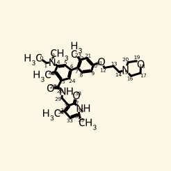 CCN(C)c1cc(-c2ccc(OCCCN3CCOCC3)cc2C)cc(C(=O)NCc2c(C)cc(C)[nH]c2=O)c1C